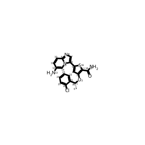 C[C@@H](Oc1cc(-c2cnc3ccc(N)cn23)sc1C(N)=O)c1ccccc1Cl